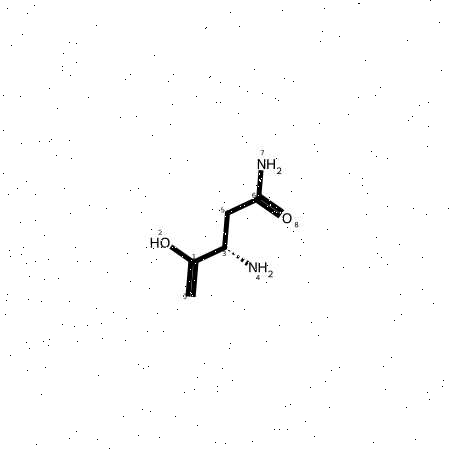 C=C(O)[C@@H](N)CC(N)=O